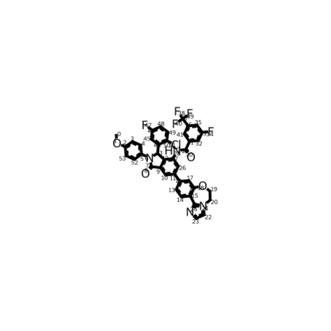 COc1ccc(N2C(=O)c3cc(-c4ccc5c(c4)OCCn4ccnc4-5)cc(NC(=O)c4cc(F)cc(C(F)(F)F)c4)c3C2c2cc(F)ccc2Cl)cc1